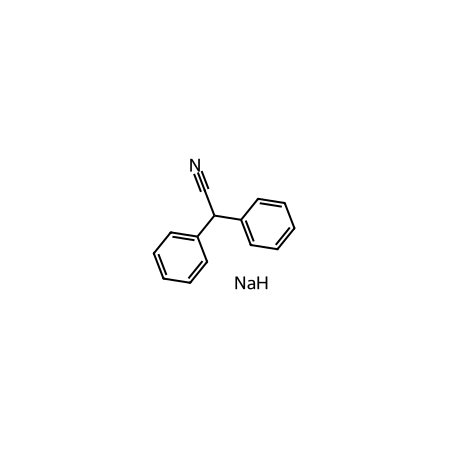 N#CC(c1ccccc1)c1ccccc1.[NaH]